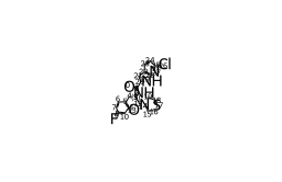 O=C(N[C@@H](Cc1ccc(F)cc1)C(=O)N1CCSCC1)C1Cc2ccc(Cl)nc2N1